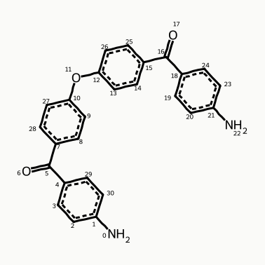 Nc1ccc(C(=O)c2ccc(Oc3ccc(C(=O)c4ccc(N)cc4)cc3)cc2)cc1